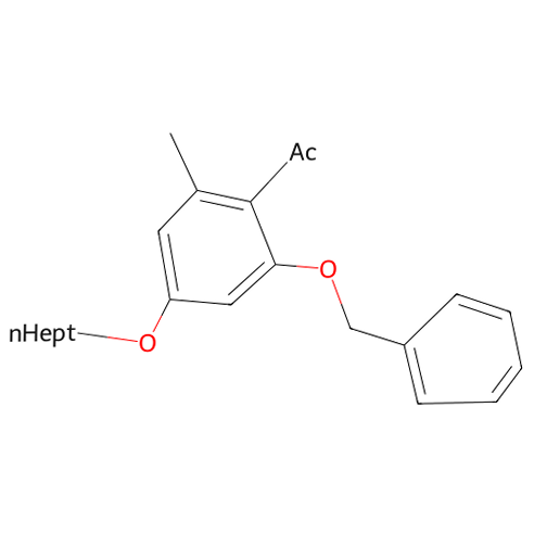 CCCCCCCOc1cc(C)c(C(C)=O)c(OCc2ccccc2)c1